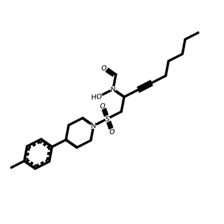 CCCCCC#CC(CS(=O)(=O)N1CCC(c2ccc(C)cc2)CC1)N(O)C=O